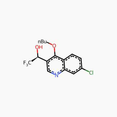 CCCCOc1c([C@H](O)C(F)(F)F)cnc2cc(Cl)ccc12